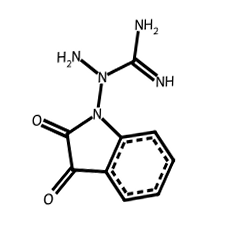 N=C(N)N(N)N1C(=O)C(=O)c2ccccc21